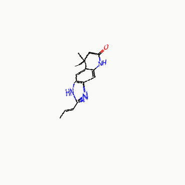 CC=Cc1nc2cc3c(cc2[nH]1)C(C)(C)CC(=O)N3